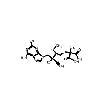 C#CC(O)(Cn1cnc2c(N)nc(C)nc21)C(COC(C)(C(=O)O)C(=O)O)OC